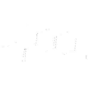 O=C(CBr)c1cc2cc(Cl)ccc2oc1=O